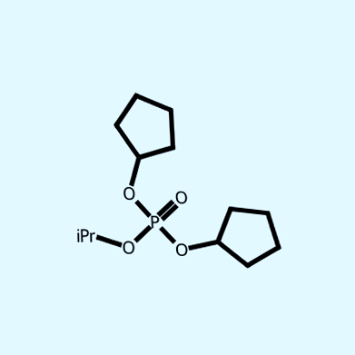 CC(C)OP(=O)(OC1CCCC1)OC1CCCC1